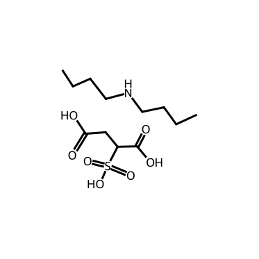 CCCCNCCCC.O=C(O)CC(C(=O)O)S(=O)(=O)O